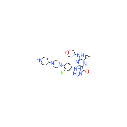 CCc1nc(C(N)=O)c(Nc2ccc(N3CCN(C4CCN(C)CC4)CC3)c(F)c2)nc1NC1CCOCC1